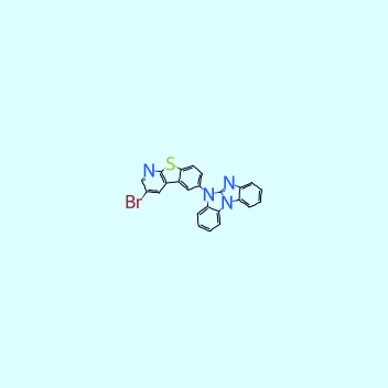 Brc1cnc2sc3ccc(-n4c5ccccc5n5c6ccccc6nc45)cc3c2c1